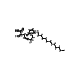 CCCCCCCCCCCC=C[C@H]1C=CC(=O)[C@@H]1CC(C)=C=CCC(O)C(=O)O